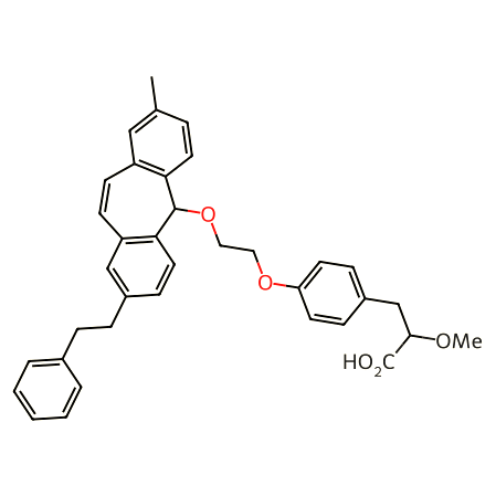 COC(Cc1ccc(OCCOC2c3ccc(C)cc3C=Cc3cc(CCc4ccccc4)ccc32)cc1)C(=O)O